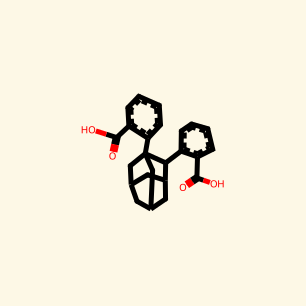 O=C(O)c1ccccc1C1C2CC3CC(C2)CC1(c1ccccc1C(=O)O)C3